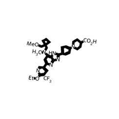 CCOc1ncc(-c2cc(N(C)CC3(COC)CCC3)c3[nH]c(-c4ccc(N5CCC(C(=O)O)CC5)cc4)nc3n2)cc1C(F)(F)F